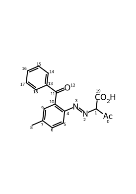 CC(=O)C(N=Nc1ccc(C)cc1C(=O)c1ccccc1)C(=O)O